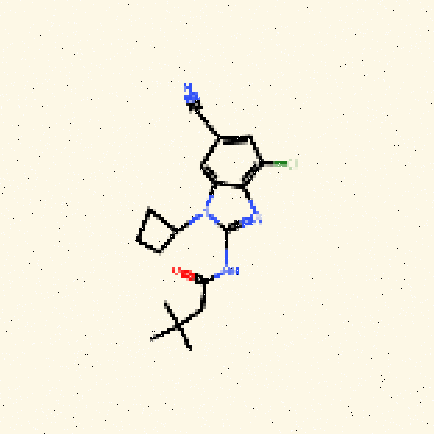 CC(C)(C)CC(=O)Nc1nc2c(Cl)cc(C#N)cc2n1C1CCC1